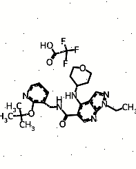 CCn1ncc2c(NC3CCOCC3)c(C(=O)NCc3cccnc3OC(C)(C)C)cnc21.O=C(O)C(F)(F)F